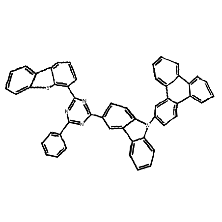 c1ccc(-c2nc(-c3ccc4c(c3)c3ccccc3n4-c3ccc4c5ccccc5c5ccccc5c4c3)nc(-c3cccc4c3sc3ccccc34)n2)cc1